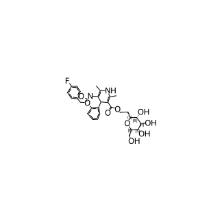 CC1=C(C(=O)OCC[C@@H]2O[C@H](CO)[C@@H](O)[C@H](O)[C@H]2O)C(c2ccccc2OCc2ccc(F)cc2)C([N+](=O)[O-])=C(C)N1